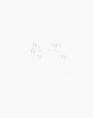 CO[C@H]1CC[C@H](NC(=O)c2cnn3ccc(-c4c[nH]c5nc(C6CCC6)ncc45)cc23)CC1